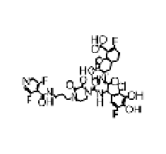 O=C(NCCCN1CCN(C(=O)NC(C(=O)N[C@H]2Cc3ccc(F)c(C(=O)O)c3OB2O)c2cc(F)c(O)c(O)c2Cl)C(=O)C1=O)c1c(F)cncc1F